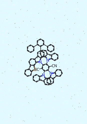 N#Cc1c(-n2c3ccccc3c3ccccc32)c(-n2c3ccccc3c3ccccc32)c(C#N)c(-n2c3ccc(-c4c(-c5ccccc5)cccc4-c4ccccc4)cc3c3ccc4c5ccccc5sc4c32)c1-n1c2ccccc2c2ccccc21